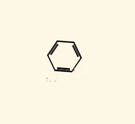 O.[NaH].c1ccccc1